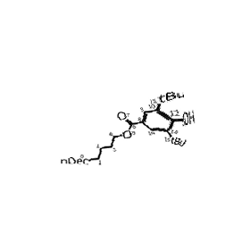 CCCCCCCCCCCCCCOC(=O)c1cc(C(C)(C)C)c(O)c(C(C)(C)C)c1